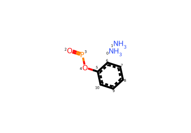 N.N.O=POc1ccccc1